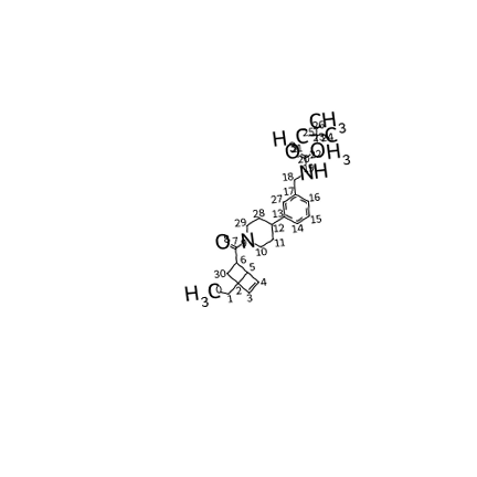 CCC12C=CC1C(C(=O)N1CCC(c3cccc(CNC(=O)OC(C)(C)C)c3)CC1)C2